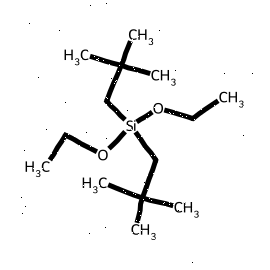 CCO[Si](CC(C)(C)C)(CC(C)(C)C)OCC